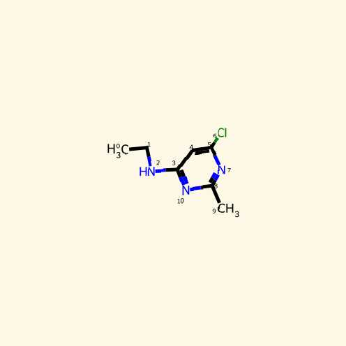 CCNc1cc(Cl)nc(C)n1